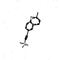 Cc1ccc2cc(C#C[Si](C)(C)C)ccc2n1